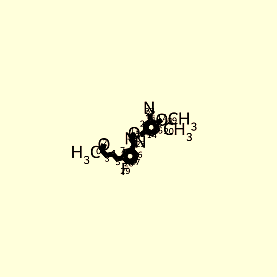 CC(=O)CCCc1cc(-c2noc(-c3ccc(OC(C)C)c(C#N)c3)n2)ccc1F